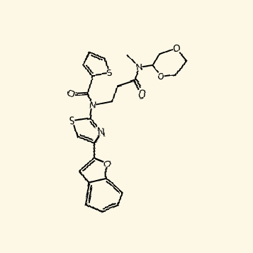 CN(C(=O)CCN(C(=O)c1cccs1)c1nc(-c2cc3ccccc3o2)cs1)C1COCCO1